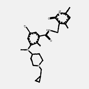 Cc1cc(C)c(CNC(=O)c2cc(Cl)cc(N(C)C3CCN(CC4CC4)CC3)c2C)c(=O)[nH]1